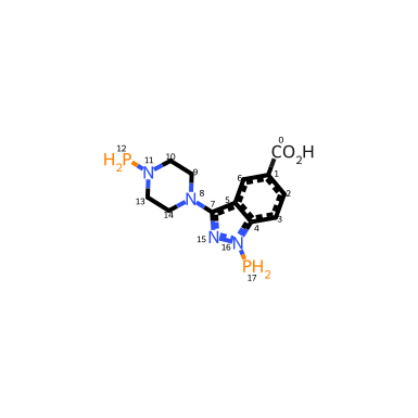 O=C(O)c1ccc2c(c1)c(N1CCN(P)CC1)nn2P